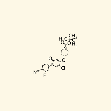 CC(C)(C)OC(=O)N1CCC(Oc2cc(=O)n(-c3ccc(C#N)c(F)c3)cc2Cl)CC1